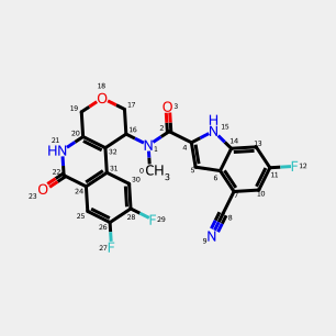 CN(C(=O)c1cc2c(C#N)cc(F)cc2[nH]1)C1COCc2[nH]c(=O)c3cc(F)c(F)cc3c21